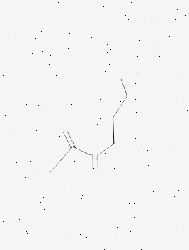 CCCCCCC(=O)N[C@H](CC[C]=O)C(=O)O